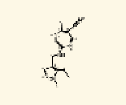 CCc1c(CNC2=CNC(C)=C(C#N)C=N2)cnn1C